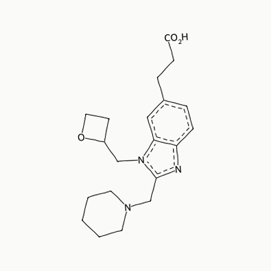 O=C(O)CCc1ccc2nc(CN3CCCCC3)n(CC3CCO3)c2c1